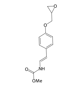 COC(=O)NC=Cc1ccc(OCC2CO2)cc1